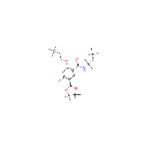 CC(C)(C)CC(C)(C)NC(=O)c1cc(B2OC(C)(C)C(C)(C)O2)c(F)cc1OCC[Si](C)(C)C